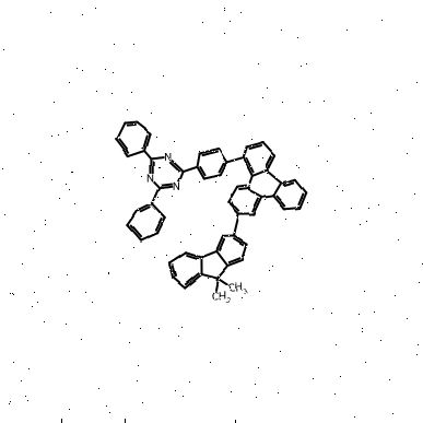 CC1(C)c2ccccc2-c2cc(-c3ccc4c(c3)c3ccccc3c3cccc(-c5ccc(-c6nc(-c7ccccc7)nc(-c7ccccc7)n6)cc5)c34)ccc21